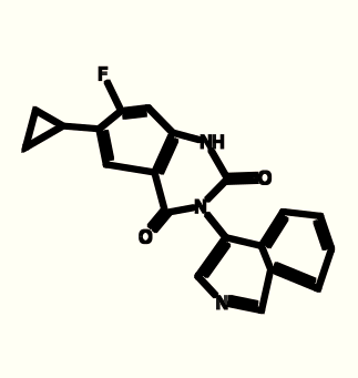 O=c1[nH]c2cc(F)c(C3CC3)cc2c(=O)n1-c1cncc2ccccc12